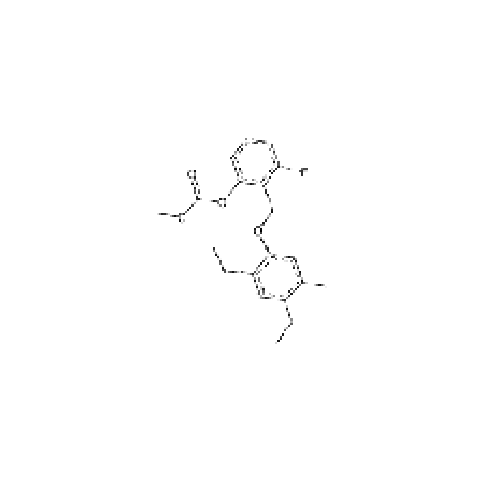 CCc1cc(CC)c(OCc2c(F)cccc2OC(=O)OC)cc1C